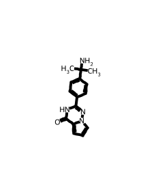 CC(C)(N)c1ccc(-c2nn3cccc3c(=O)[nH]2)cc1